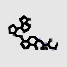 CNC(/C=C1/CCc2c(OC[C@H]3CCCN3c3ncnc4[nH]cnc34)cccc2C1=O)=C(Cl)\C=N/I